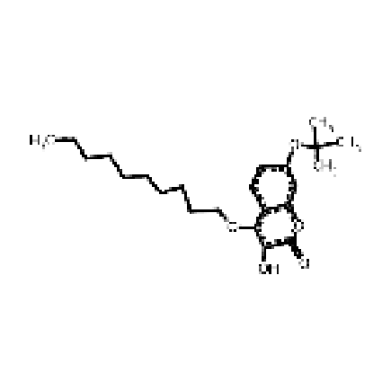 CCCCCCCCCCOc1c(O)c(=O)oc2cc(OC(C)(C)C)ccc12